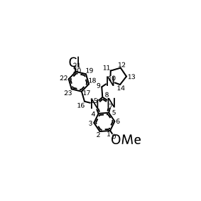 COc1ccc2c(c1)nc(CN1CCCC1)n2Cc1ccc(Cl)cc1